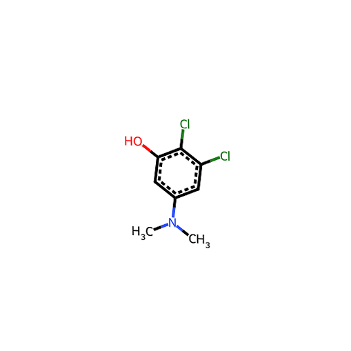 CN(C)c1cc(O)c(Cl)c(Cl)c1